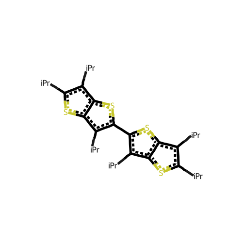 CC(C)c1sc2c(C(C)C)c(-c3sc4c(C(C)C)c(C(C)C)sc4c3C(C)C)sc2c1C(C)C